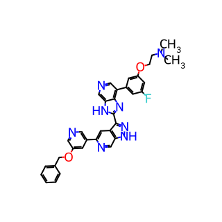 CN(C)CCOc1cc(F)cc(-c2cncc3[nH]c(-c4n[nH]c5cnc(-c6cncc(OCc7ccccc7)c6)cc45)nc23)c1